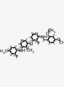 COc1ccc(CNc2nccc(Oc3cncc(Nc4ccc(C)cc4F)c3C)c2F)c(OC)c1